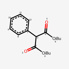 CC(C)COC(=O)C(C(=O)OCC(C)C)c1ccccc1